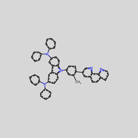 Cc1cc(-n2c3ccc(N(c4ccccc4)c4ccccc4)cc3c3cc(N(c4ccccc4)c4ccccc4)ccc32)ccc1-c1cnc2c(ccc3cccnc32)c1